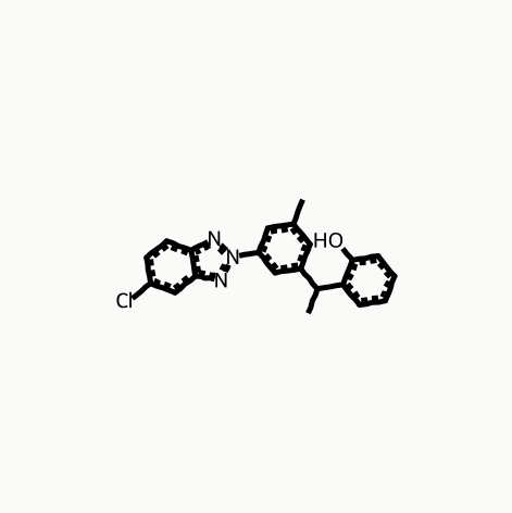 Cc1cc(C(C)c2ccccc2O)cc(-n2nc3ccc(Cl)cc3n2)c1